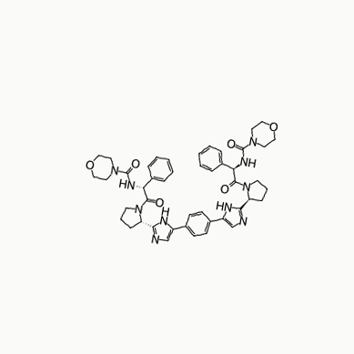 O=C(N[C@@H](C(=O)N1CCC[C@H]1c1ncc(-c2ccc(-c3cnc([C@@H]4CCCN4C(=O)[C@H](NC(=O)N4CCOCC4)c4ccccc4)[nH]3)cc2)[nH]1)c1ccccc1)N1CCOCC1